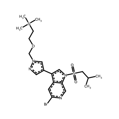 CC(C)CS(=O)(=O)n1cc(-c2cnn(COCC[Si](C)(C)C)c2)c2cc(Br)ncc21